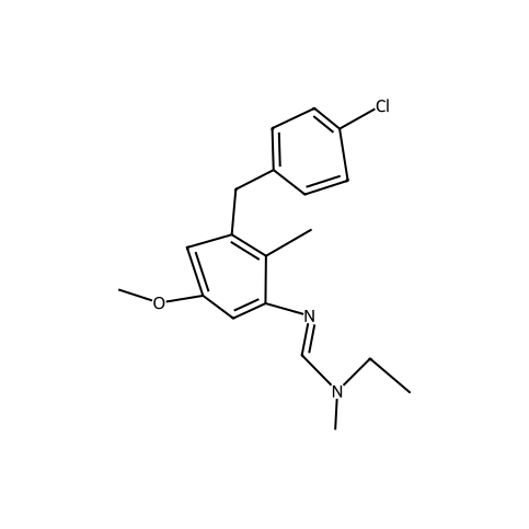 CCN(C)C=Nc1cc(OC)cc(Cc2ccc(Cl)cc2)c1C